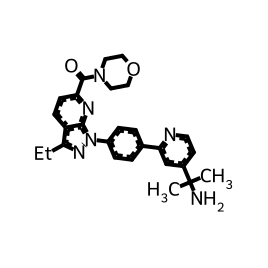 CCc1nn(-c2ccc(-c3cc(C(C)(C)N)ccn3)cc2)c2nc(C(=O)N3CCOCC3)ccc12